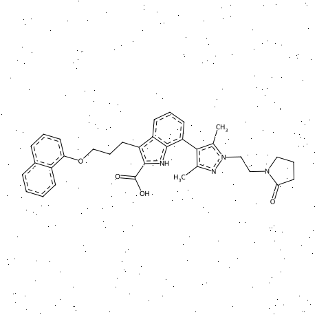 Cc1nn(CCN2CCCC2=O)c(C)c1-c1cccc2c(CCCOc3cccc4ccccc34)c(C(=O)O)[nH]c12